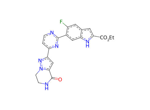 CCOC(=O)c1cc2cc(F)c(-c3nccc(-c4cc5n(n4)CCNC5=O)n3)cc2[nH]1